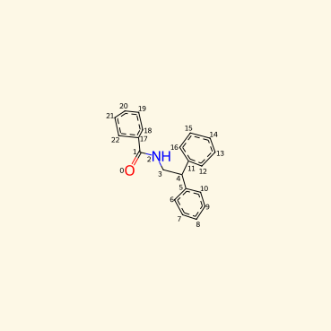 O=C(NCC(c1ccccc1)c1ccccc1)c1ccccc1